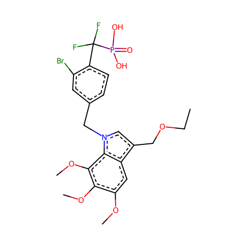 CCOCc1cn(Cc2ccc(C(F)(F)P(=O)(O)O)c(Br)c2)c2c(OC)c(OC)c(OC)cc12